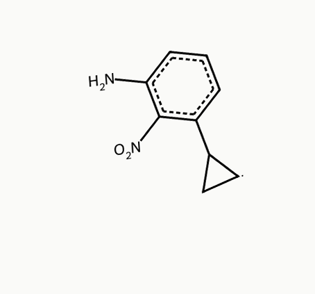 Nc1cccc(C2[CH]C2)c1[N+](=O)[O-]